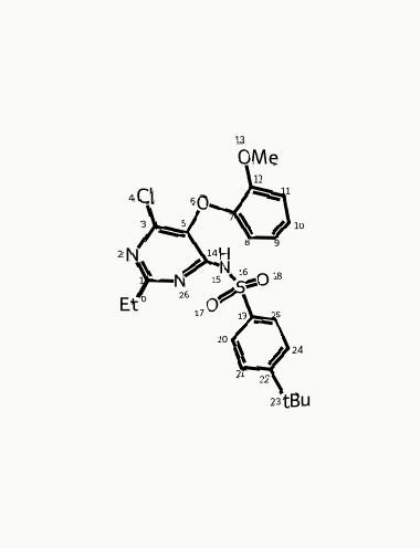 CCc1nc(Cl)c(Oc2ccccc2OC)c(NS(=O)(=O)c2ccc(C(C)(C)C)cc2)n1